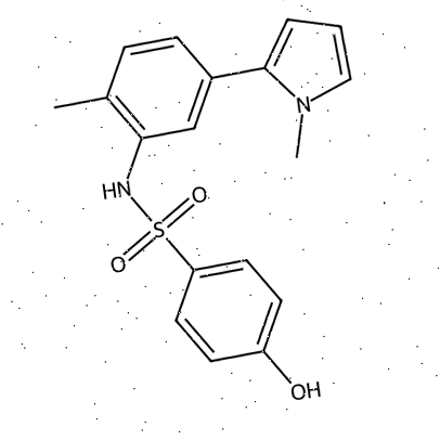 Cc1ccc(-c2cccn2C)cc1NS(=O)(=O)c1ccc(O)cc1